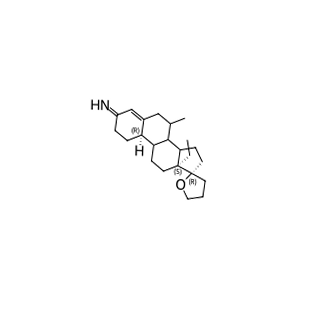 CC[C@]12CCC3C(C(C)CC4=CC(=N)CC[C@@H]43)C1CC[C@@]21CCCO1